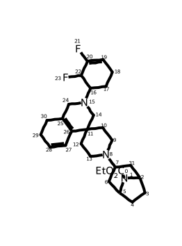 CCOC(=O)N1C2CCC1CC(N1CCC3(CC1)CN(C1CCC=C(F)C1F)CC1=C3C=CCC1)C2